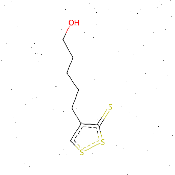 OCCCCCc1cssc1=S